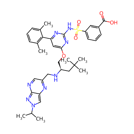 Cc1cccc(C)c1-c1cc(OC[C@@H](CC(C)(C)C)NCc2cnc3nn(C(C)C)cc3n2)nc(NS(=O)(=O)c2cccc(C(=O)O)c2)n1